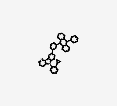 c1ccc(-c2c3ccccc3c(-c3cccc(-c4ccc5c(c4)c4ncccc4n5-c4ccccc4C4CC4)c3)c3ccccc23)cc1